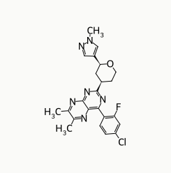 Cc1nc2nc([C@@H]3CCO[C@H](c4cnn(C)c4)C3)nc(-c3ccc(Cl)cc3F)c2nc1C